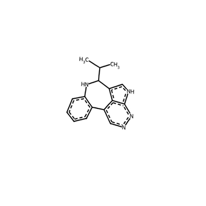 CC(C)C1Nc2ccccc2-c2cnnc3[nH]cc1c23